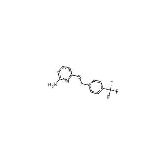 Nc1[c]ccc(SCc2ccc(C(F)(F)F)cc2)n1